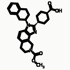 COC(=O)N1CCc2ccc3c(nc([C@H]4CC[C@H](C(=O)O)CC4)n3[C@@H]3CCc4ccccc4C3)c2C1